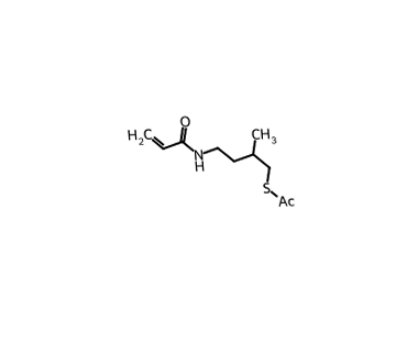 C=CC(=O)NCCC(C)CSC(C)=O